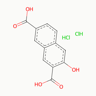 Cl.Cl.O=C(O)c1ccc2cc(O)c(C(=O)O)cc2c1